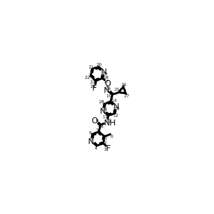 Cc1c(F)cncc1C(=O)Nc1cnc(C(=NOc2ncccc2F)C2CC2)cn1